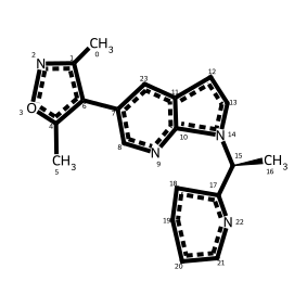 Cc1noc(C)c1-c1cnc2c(ccn2[C@@H](C)c2ccccn2)c1